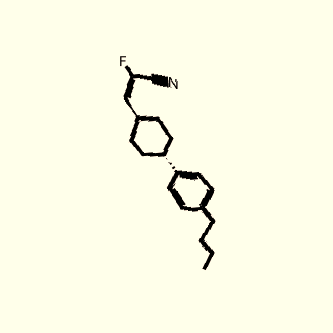 CCCCc1ccc([C@H]2CC[C@H](/C=C(/F)C#N)CC2)cc1